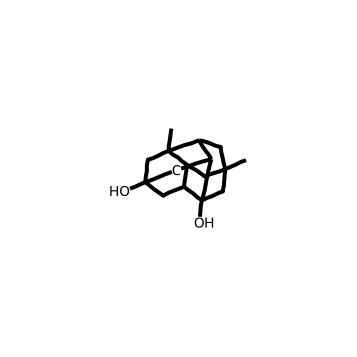 CC12CC3C4CC5(O)CC(C(C1)C3(C)C5)C4(O)C2